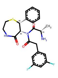 C[C@H](N)C(=O)N(C(=O)Cc1cc(F)cc(F)c1)[C@@H]1C(=O)NCCS[C@@H]1c1ccccc1